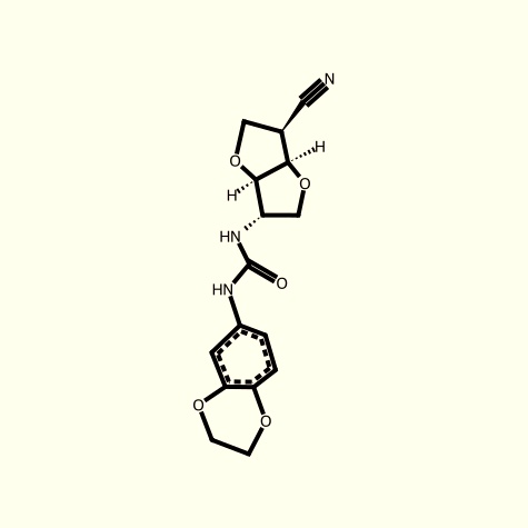 N#C[C@@H]1CO[C@H]2[C@@H]1OC[C@@H]2NC(=O)Nc1ccc2c(c1)OCCO2